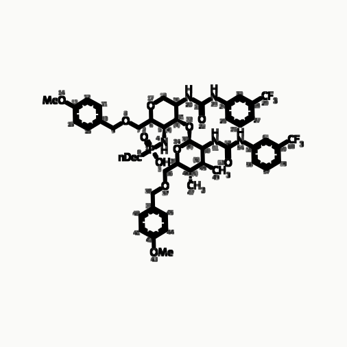 CCCCCCCCCCP(=O)(O)N[C@H]1C(COCc2ccc(OC)cc2)OCC(NC(=O)Nc2cccc(C(F)(F)F)c2)[C@H]1O[C@@H]1OC(COCc2ccc(OC)cc2)[C@@H](C)[C@H](C)C1NC(=O)Nc1cccc(C(F)(F)F)c1